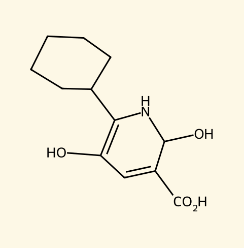 O=C(O)C1=CC(O)=C(C2CCCCC2)NC1O